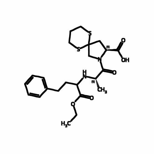 CCOC(=O)C(CCc1ccccc1)N[C@@H](C)C(=O)N1CC2(C[C@H]1C(=O)O)SCCCS2